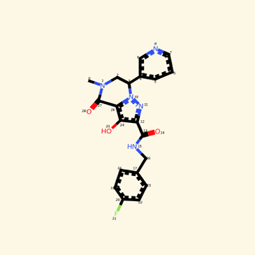 CN1CC(c2cccnc2)n2nc(C(=O)NCc3ccc(F)cc3)c(O)c2C1=O